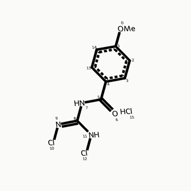 COc1ccc(C(=O)NC(=NCl)NCl)cc1.Cl